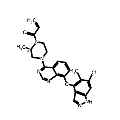 C=CC(=O)N1CCN(c2ncnc3c(Oc4c(C)c(Cl)cc5[nH]ncc45)cccc23)C[C@H]1C